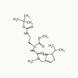 COC(=O)[C@H](CCNC(=O)OC(C)(C)C)NC(=O)N(C)CC1=CSC(C(C)C)N1